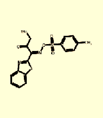 Cc1ccc(S(=O)(=O)O/N=C(\C(=O)CC(C)(C)C)c2nc3ccccc3s2)cc1